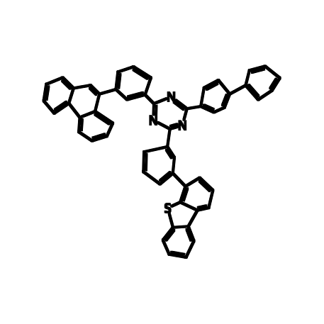 c1ccc(-c2ccc(-c3nc(-c4cccc(-c5cc6ccccc6c6ccccc56)c4)nc(-c4cccc(-c5cccc6c5sc5ccccc56)c4)n3)cc2)cc1